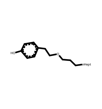 CCCCCCCCCCOCCc1ccc(O)cc1